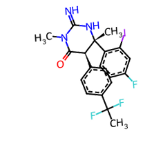 CN1C(=N)N[C@](C)(c2ccc(F)cc2I)[C@@H](c2ccc(C(C)(F)F)cc2)C1=O